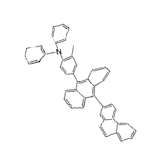 Cc1cc(-c2c3ccccc3c(-c3ccc4c(ccc5ccccc54)c3)c3ccccc23)ccc1N(C1=CCCC=C1)c1ccccc1